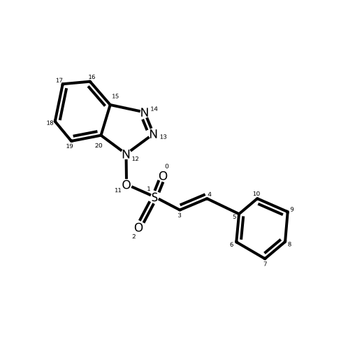 O=S(=O)(C=Cc1ccccc1)On1nnc2ccccc21